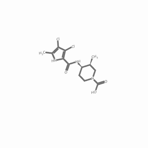 Cc1[nH]c(C(=O)N[C@@H]2CCN(C(=O)O)C[C@@H]2C)c(Cl)c1Cl